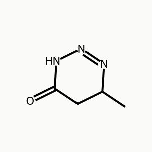 CC1CC(=O)NN=N1